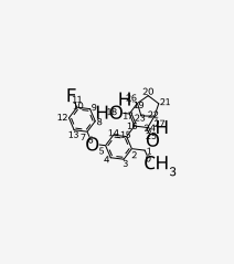 CCc1ccc(Oc2ccc(F)cc2)cc1C1=C(O)[C@H]2CC[C@H](C2)C1=O